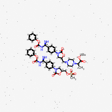 CC(C(=O)OC(C)(C)C)N1CCN(CC2CN(c3ccc(C(=N)NC(=O)Oc4ccccc4)cc3)C(=O)O2)CC1.CS(=O)(=O)OCC1CN(c2ccc(C(=N)NC(=O)Oc3ccccc3)cc2)C(=O)O1